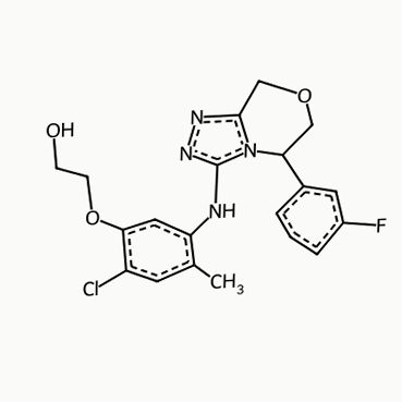 Cc1cc(Cl)c(OCCO)cc1Nc1nnc2n1C(c1cccc(F)c1)COC2